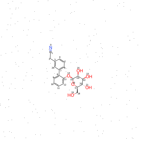 N#CCc1cccc(-c2ccccc2O[C@@H]2O[C@H](CO)[C@@H](O)[C@H](O)[C@@H]2O)c1